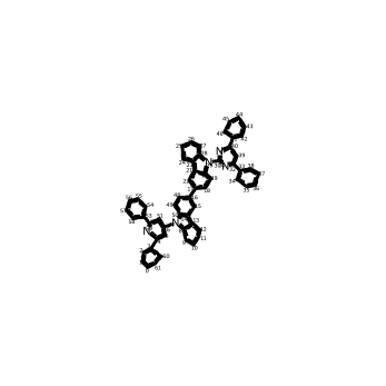 c1ccc(-c2cc(-n3c4ccccc4c4cc(-c5ccc6c(c5)c5ccccc5n6-c5nc(-c6ccccc6)cc(-c6ccccc6)n5)ccc43)cc(-c3ccccc3)n2)cc1